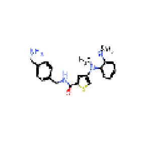 C=Nc1ccccc1N(C)c1csc(C(=O)NCc2ccc(CN)cc2)c1